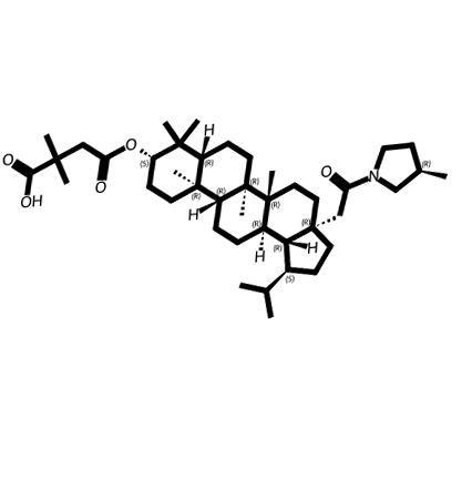 CC(C)[C@@H]1CC[C@]2(CC(=O)N3CC[C@@H](C)C3)CC[C@]3(C)[C@H](CC[C@@H]4[C@@]5(C)CC[C@H](OC(=O)CC(C)(C)C(=O)O)C(C)(C)[C@@H]5CC[C@]43C)[C@@H]12